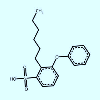 CCCCCCc1c(Oc2ccccc2)cccc1S(=O)(=O)O